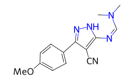 COc1ccc(-c2n[nH]c(/N=C\N(C)C)c2C#N)cc1